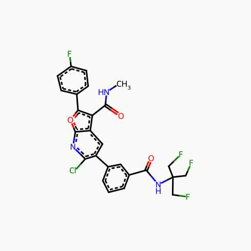 CNC(=O)c1c(-c2ccc(F)cc2)oc2nc(Cl)c(-c3cccc(C(=O)NC(CF)(CF)CF)c3)cc12